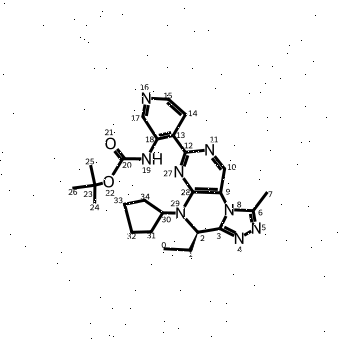 CC[C@@H]1c2nnc(C)n2-c2cnc(-c3ccncc3NC(=O)OC(C)(C)C)nc2N1C1CCCC1